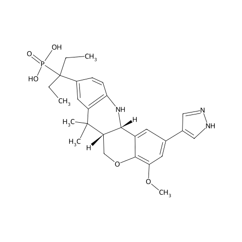 CCC(CC)(c1ccc2c(c1)C(C)(C)[C@H]1COc3c(OC)cc(-c4cn[nH]c4)cc3[C@H]1N2)P(=O)(O)O